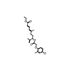 C=C(C)C(CC/C(C)=C/C=C/C(=O)OCC)OC(=O)COc1ccc(Cl)cc1C